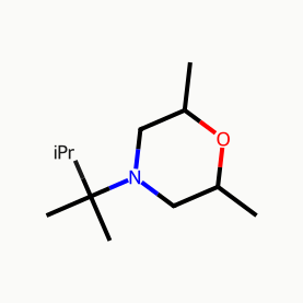 CC1CN(C(C)(C)C(C)C)CC(C)O1